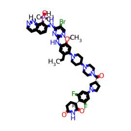 CCc1cc(Nc2ncc(Br)c(Nc3ccc4ccnnc4c3P(C)(C)=O)n2)c(OC)cc1N1CCC(N2CCN(C(=O)[C@@H]3CCN(c4cc(F)c([C@H]5CCC(=O)NC5=O)c(F)c4)C3)CC2)CC1